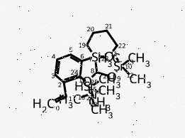 C=Cc1cccc([Si]2(C(O[Si](C)(C)C)O[Si](C)(C)C)CCCCO2)c1[SiH](C)C